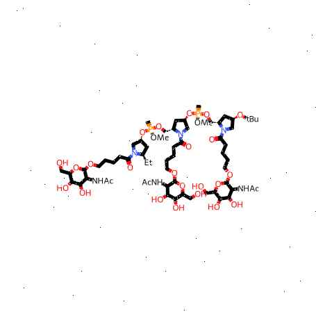 C=P(OC)(OC[C@@H]1C[C@@H](OP(=C)(OC)OC[C@@H]2C[C@@H](OC(C)(C)C)CN2C(=O)CCCCOC2OC(CO)C(O)C(O)C2NC(C)=O)CN1C(=O)CCCCOC1OC(CO)C(O)C(O)C1NC(C)=O)O[C@@H]1C[C@@H](CC)N(C(=O)CCCCOC2OC(CO)C(O)C(O)C2NC(C)=O)C1